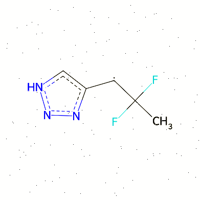 CC(F)(F)[CH]c1c[nH]nn1